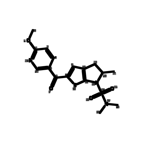 COc1ccc(C(=O)c2cc3c(s2)N(S(=O)(=O)N(C)C)C(C)C3)cn1